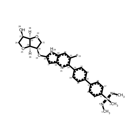 CN=S(C)(=NC)c1ccc(-c2ccc(-c3nc4cc(O[C@@H]5CO[C@H]6[C@@H]5OC[C@H]6O)[nH]c4cc3F)cc2)cc1